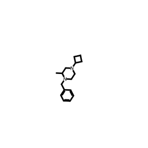 CC1CN(C2CCC2)CCN1Cc1ccccc1